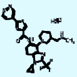 CNCC1CCCN(c2c(NC(=O)c3csc(-c4ccnnc4)n3)ccc3c2nc(C(F)(F)F)n3C2CC2)C1.Cl.Cl